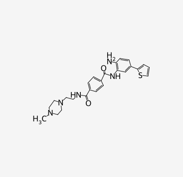 CN1CCN(CCNC(=O)c2ccc(C(=O)Nc3cc(-c4cccs4)ccc3N)cc2)CC1